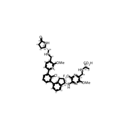 COc1nc(-c2cccc(-c3cccc4c3CC[C@@H]4Nc3nc(OC)c(CN[C@@H](C)C(=O)O)nc3C(F)(F)F)c2Cl)ccc1CNC[C@@H]1CCC(=O)N1